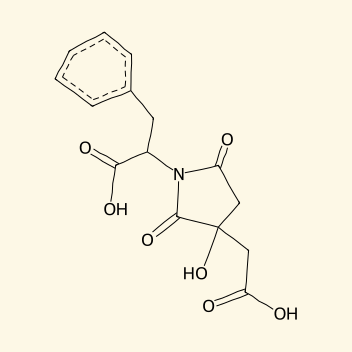 O=C(O)CC1(O)CC(=O)N(C(Cc2ccccc2)C(=O)O)C1=O